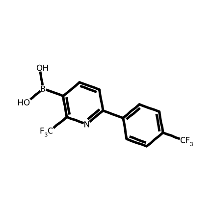 OB(O)c1ccc(-c2ccc(C(F)(F)F)cc2)nc1C(F)(F)F